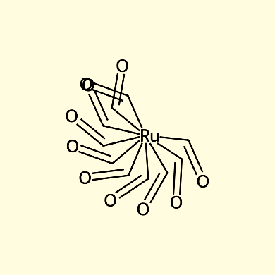 O=[CH][Ru]([CH]=O)([CH]=O)([CH]=O)([CH]=O)([CH]=O)([CH]=O)([CH]=O)([CH]=O)[CH]=O